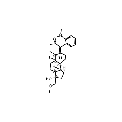 COC[C@]1(O)CC[C@H]2[C@@H]3CCC4=C(c5ccccc5N(C)C)C(=O)CC[C@@H]4[C@H]3CC[C@@]21C